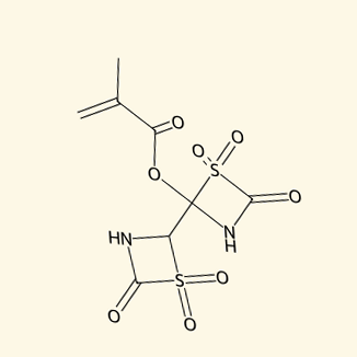 C=C(C)C(=O)OC1(C2NC(=O)S2(=O)=O)NC(=O)S1(=O)=O